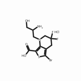 Cl.NC(CO)CN1CC(F)(F)Cc2c(Br)sc(C(=O)O)c21